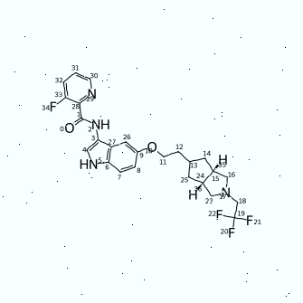 O=C(Nc1c[nH]c2ccc(OCCC3C[C@@H]4CN(CC(F)(F)F)C[C@@H]4C3)cc12)c1ncccc1F